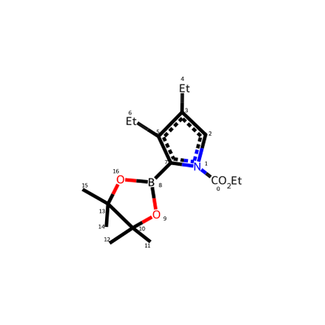 CCOC(=O)n1cc(CC)c(CC)c1B1OC(C)(C)C(C)(C)O1